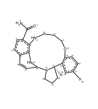 NC(=O)c1cnc2c3c1NCCCOc1ccc(F)cc1[C@H]1CCCN1C(C=C2)N3